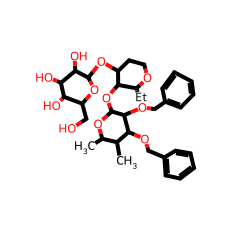 CCC1OCCC(OC2OC(CO)C(O)C(O)C2O)C1OC1OC(C)C(C)C(OCc2ccccc2)C1OCc1ccccc1